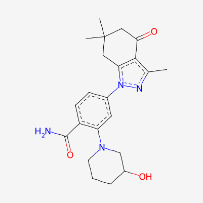 Cc1nn(-c2ccc(C(N)=O)c(N3CCCC(O)C3)c2)c2c1C(=O)CC(C)(C)C2